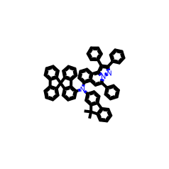 CC1(C)c2ccccc2-c2ccc(N(c3cccc4c3-c3ccccc3C43c4ccccc4-c4ccccc43)c3cccc4c3cc(-c3ccccc3)n3nc(-c5ccccc5)c(-c5ccccc5)c43)cc21